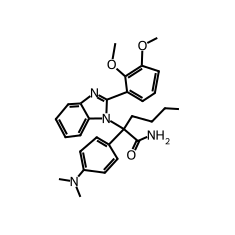 CCCCC(C(N)=O)(c1ccc(N(C)C)cc1)n1c(-c2cccc(OC)c2OC)nc2ccccc21